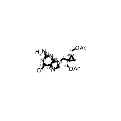 CC(=O)OC[C@@H]1C[C@@]1(COC(C)=O)Cn1cnc2c(Cl)nc(N)nc21